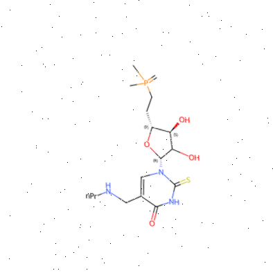 C=P(C)(C)CC[C@H]1O[C@@H](n2cc(CNCCC)c(=O)[nH]c2=S)C(O)[C@@H]1O